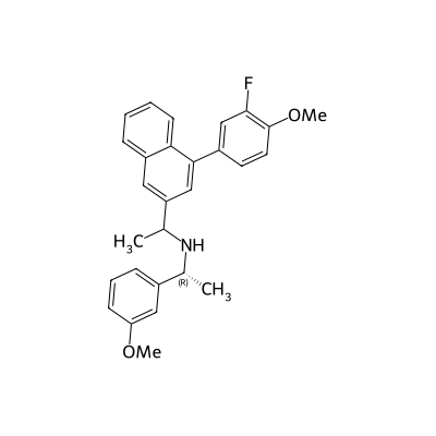 COc1cccc([C@@H](C)NC(C)c2cc(-c3ccc(OC)c(F)c3)c3ccccc3c2)c1